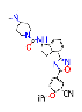 CC(C)Oc1ccc(-c2nc(-c3cccc4c3CCC4NC(=O)N3CCC(N(C)C)CC3)no2)cc1C#N